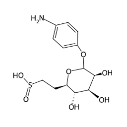 Nc1ccc(OC2O[C@H](CCS(=O)O)[C@@H](O)[C@H](O)[C@@H]2O)cc1